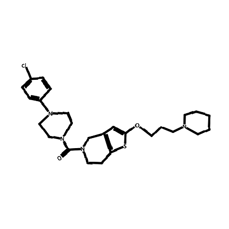 O=C(N1CCN(c2ccc(Cl)cc2)CC1)N1CCc2sc(OCCCN3CCCCC3)cc2C1